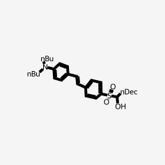 CCCCCCCCCCC(O)S(=O)(=O)c1ccc(C=Cc2ccc(N(CCCC)CCCC)cc2)cc1